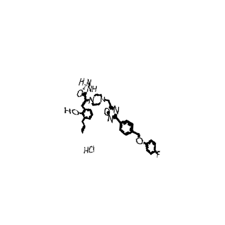 C=CCc1cccc(C=C(C(=O)NN)N2CCN(Cc3nc(-c4ccc(COc5ccc(F)cc5)cc4)no3)CC2)c1O.Cl